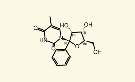 Cc1cn([C@]2(c3ccccc3)O[C@H](CO)[C@@H](O)[C@H]2O)c(=O)[nH]c1=O